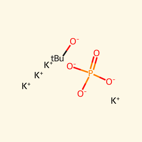 CC(C)(C)[O-].O=P([O-])([O-])[O-].[K+].[K+].[K+].[K+]